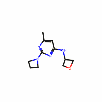 Cc1cc(NC2COC2)nc(N2CCC2)n1